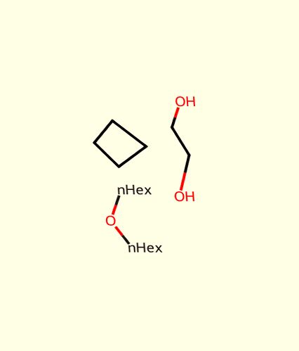 C1CCC1.CCCCCCOCCCCCC.OCCO